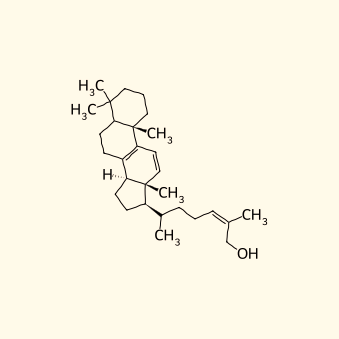 CC(=CCCC(C)[C@H]1CC[C@H]2C3=C(C=C[C@]12C)[C@@]1(C)CCCC(C)(C)C1CC3)CO